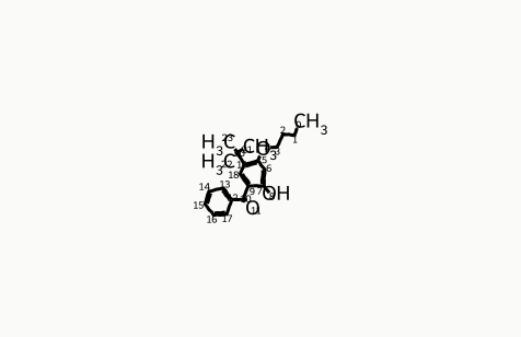 CCCCOc1cc(O)c(C(=O)c2ccccc2)cc1C(C)(C)C